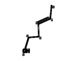 [CH2]/C=C/CCO